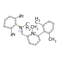 [CH2-]/[N+](=C\c1cccc(-c2c(C)cccc2C)[n+]1[CH2-])c1c(C(C)C)cccc1C(C)C